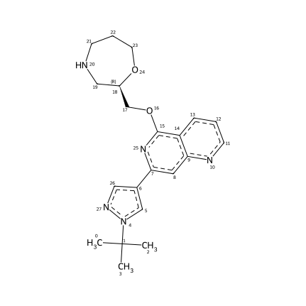 CC(C)(C)n1cc(-c2cc3ncccc3c(OC[C@H]3CNCCCO3)n2)cn1